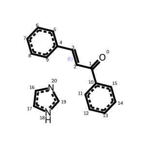 O=C(/C=C/c1ccccc1)c1ccccc1.c1c[nH]cn1